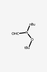 CCCCN(C=O)OC(C)(C)C